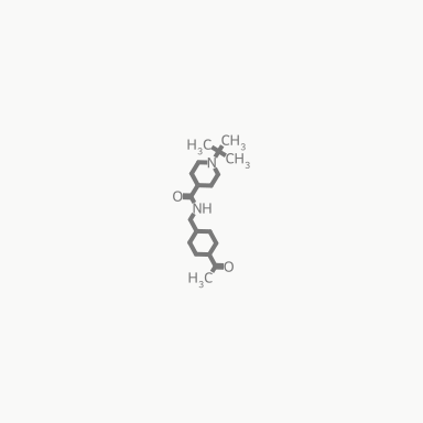 CC(=O)C1CCC(CNC(=O)C2CCN(C(C)(C)C)CC2)CC1